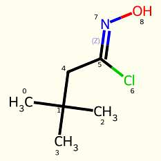 CC(C)(C)C/C(Cl)=N/O